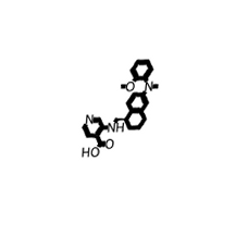 COc1ccccc1N(C)c1ccc2c(c1)CCC[C@H]2CNc1cnccc1C(=O)O